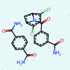 NC(=O)c1ccc(C(N)=O)cc1.NC(=O)c1cccc(C(=O)N2c3cc2c(Cl)cc3Cl)c1